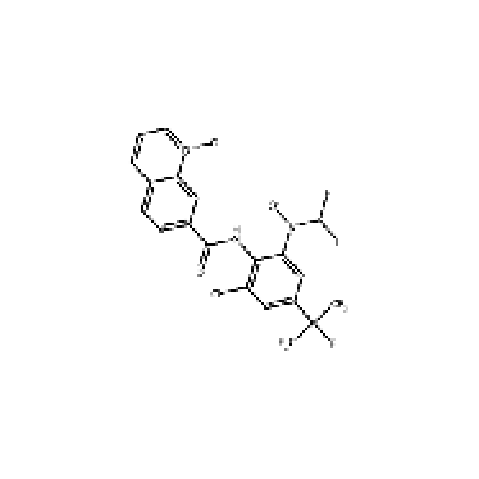 O=C(Nc1c(Cl)cc(C(F)(C(F)(F)F)C(F)(F)F)cc1[S+]([O-])C(F)F)c1ccc2ccc[n+]([O-])c2c1